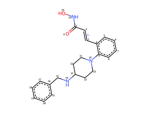 O=C(/C=C/c1ccccc1N1CCC(NCc2ccccc2)CC1)NO